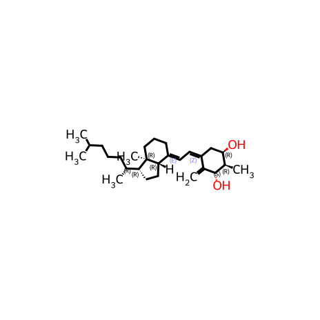 C=C1/C(=C\C=C2/CCC[C@]3(C)[C@@H]([C@H](C)CCCC(C)C)CC[C@@H]23)C[C@@H](O)[C@@H](C)[C@@H]1O